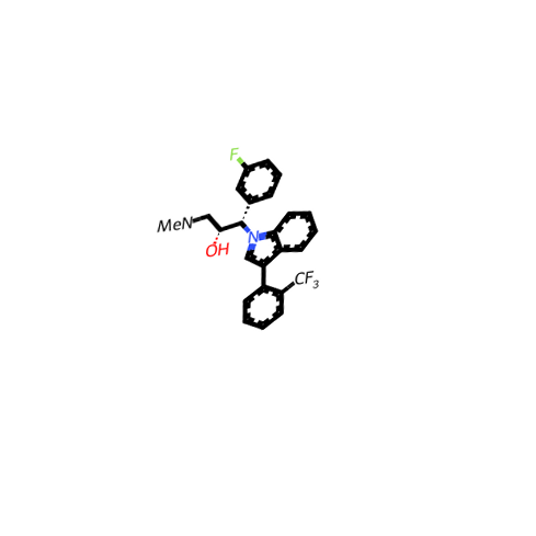 CNC[C@@H](O)[C@H](c1cccc(F)c1)n1cc(-c2ccccc2C(F)(F)F)c2ccccc21